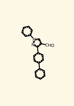 O=Cc1cn(-c2ccccc2)nc1-c1ccc(-c2ccccc2)cc1